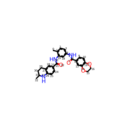 Cc1ccc(NC(=O)c2ccc3c(c2)OCCO3)cc1NC(=O)c1ccc2c(c1)CCC(C)N2